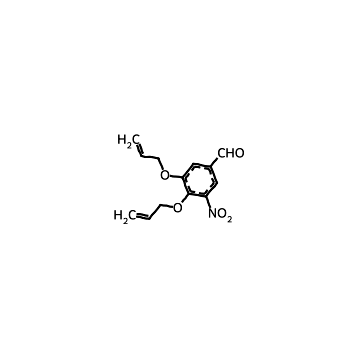 C=CCOc1cc(C=O)cc([N+](=O)[O-])c1OCC=C